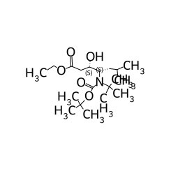 CCOC(=O)C[C@H](O)[C@H](CC(C)C)N(C(=O)OC(C)(C)C)C(C)(C)C